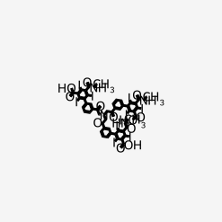 CNC(=O)c1c(I)c(C(=O)O)c(I)c(-c2cccc(C(=O)CN(CC(=O)c3cccc(-c4c(I)c(C(=O)O)c(I)c(C(=O)NC)c4I)c3)CC(=O)c3cccc(-c4c(I)c(C(=O)O)c(I)c(C(=O)NC)c4I)c3)c2)c1I